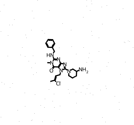 C/C(Cl)=C/Cn1c(N2CCCC(N)C2)nc2nc(NCc3ccccc3)n(C)c(=O)c21